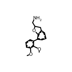 COc1cccc(-c2cccc3c2OC(CN)C3)c1OC